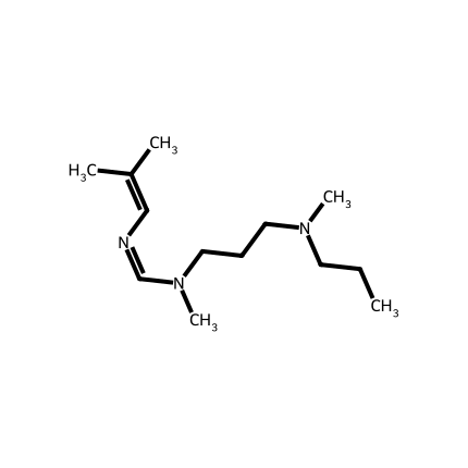 CCCN(C)CCCN(C)/C=N\C=C(C)C